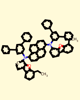 CCc1cccc2c1oc1c(N(c3cc(-c4ccccc4)cc(-c4ccccc4)c3)c3ccc4ccc5c(N(c6cc(-c7ccccc7)cc(-c7ccccc7)c6)c6cccc7c6oc6c(CC)cccc67)ccc6ccc3c4c65)cccc12